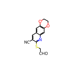 N#Cc1cc2cc3c(cc2nc1SCC=O)OCCO3